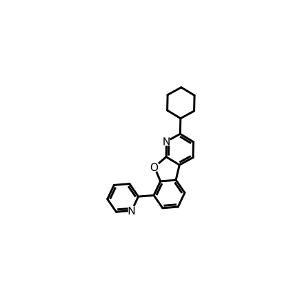 c1ccc(-c2cccc3c2oc2nc(C4CCCCC4)ccc23)nc1